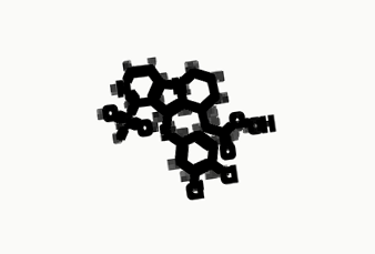 CS(=O)(=O)c1nccc2c1c(Sc1ccc(Cl)c(Cl)c1)c1n2CCCC1CC(=O)OO